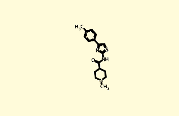 Cc1ccc(-c2csc(NC(=O)C3CCN(C)CC3)n2)cc1